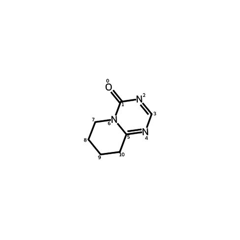 O=c1ncnc2n1CCCC2